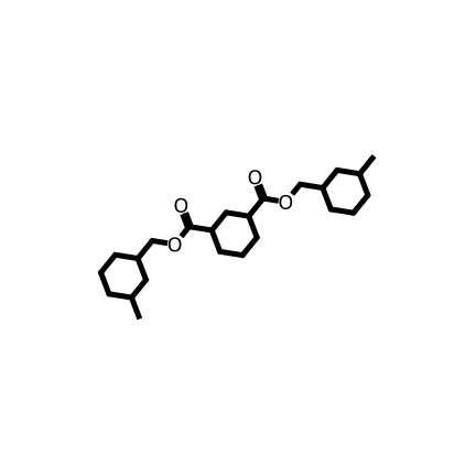 CC1CCCC(COC(=O)C2CCCC(C(=O)OCC3CCCC(C)C3)C2)C1